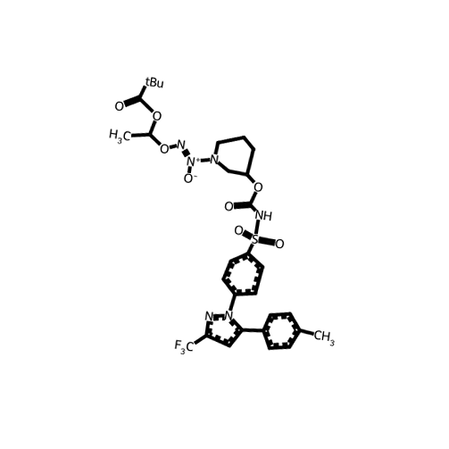 Cc1ccc(-c2cc(C(F)(F)F)nn2-c2ccc(S(=O)(=O)NC(=O)OC3CCCN(/[N+]([O-])=N/OC(C)OC(=O)C(C)(C)C)C3)cc2)cc1